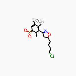 CC1=C(C2=NOC(CCCCCl)C2)C(C)C(=S(=O)=O)C=C1C(=O)O